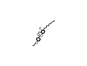 CCCCCCCCCc1ccc(OC(=O)c2ccc(OCCC)cc2)c(F)c1F